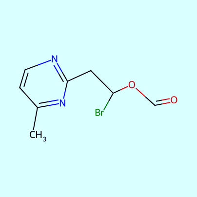 Cc1ccnc(CC(Br)OC=O)n1